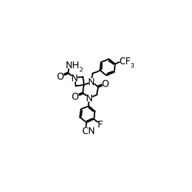 N#Cc1ccc(N2CC(=O)N(Cc3ccc(C(F)(F)F)cc3)C3(CN(C(N)=O)C3)C2=O)cc1F